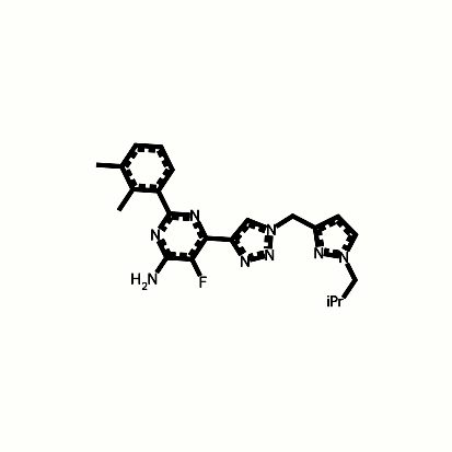 Cc1cccc(-c2nc(N)c(F)c(-c3cn(Cc4ccn(CC(C)C)n4)nn3)n2)c1C